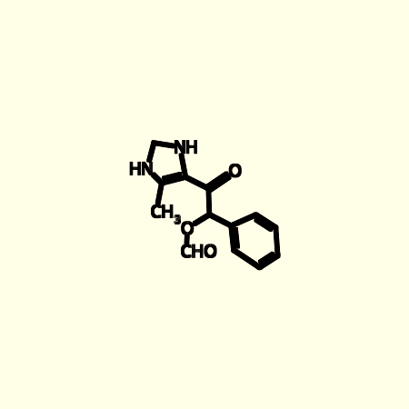 CC1=C(C(=O)C(OC=O)c2ccccc2)NCN1